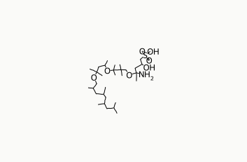 CC(C)CC(C)CC(C)CC(C)COC(C)(C)CC(C)OC(C)(C)C(C)(C)COC(C)(N)CC(O)CS(=O)(=O)O